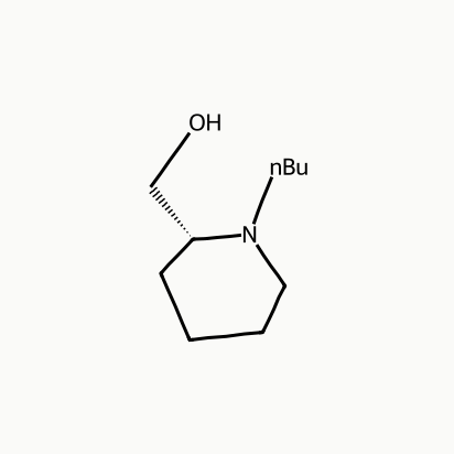 CCCCN1CCCC[C@@H]1CO